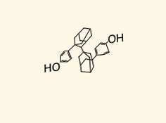 Oc1ccc(C23CC4CC(C2)CC(C2C5CC6CC(C5)CC2(c2ccc(O)cc2)C6)(C4)C3)cc1